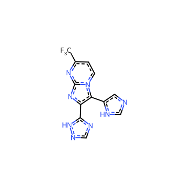 FC(F)(F)c1ccn2c(-c3cnc[nH]3)c(-c3ncn[nH]3)nc2n1